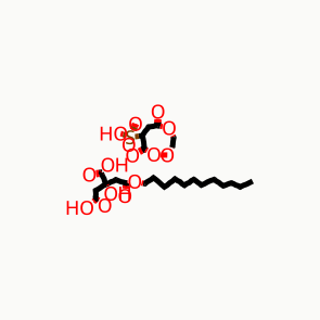 CCCCCCCCCCCCOC(=O)CC(O)(CC(=O)O)C(=O)O.O=C1CC(S(=O)(=O)O)C(=O)OOCCO1